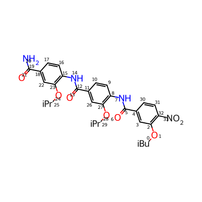 CCC(C)Oc1cc(C(=O)Nc2ccc(C(=O)Nc3ccc(C(N)=O)cc3OC(C)C)cc2OC(C)C)ccc1[N+](=O)[O-]